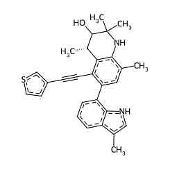 Cc1cc(-c2cccc3c(C)c[nH]c23)c(C#Cc2ccsc2)c2c1NC(C)(C)C(O)[C@H]2C